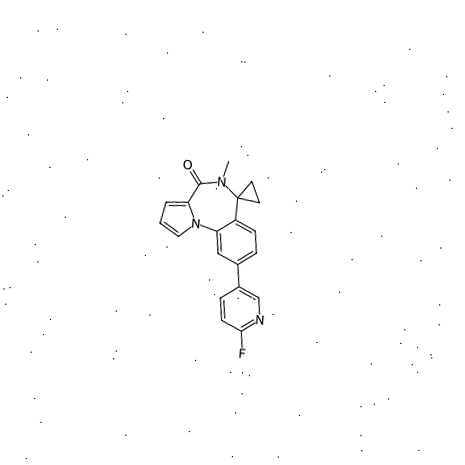 CN1C(=O)c2cccn2-c2cc(-c3ccc(F)nc3)ccc2C12CC2